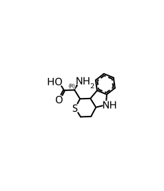 N[C@H](C(=O)O)C1SCCC2Nc3ccccc3C21